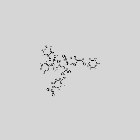 CC(OP(=O)(Oc1ccccc1)Oc1ccccc1)=C(C(=O)OCc1ccc([N+](=O)[O-])cc1)N1C(=O)C2N=C(COc3ccccc3)SC21